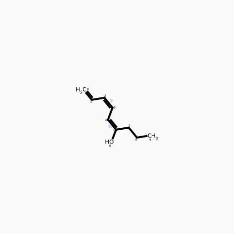 C=C/C=C\C=C(\O)CCC